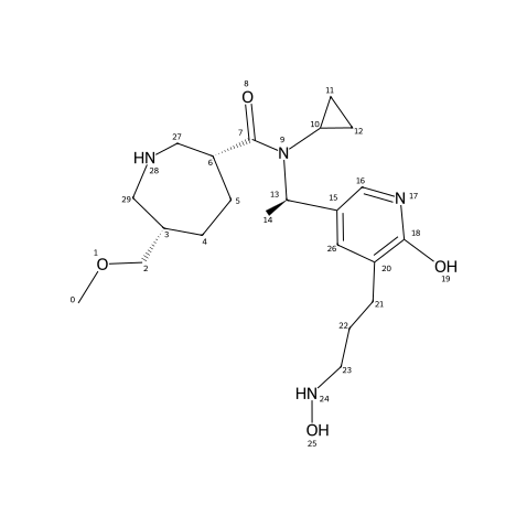 COC[C@H]1CC[C@@H](C(=O)N(C2CC2)[C@H](C)c2cnc(O)c(CCCNO)c2)CNC1